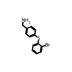 NCc1ccc(Sc2ccccc2Br)cc1